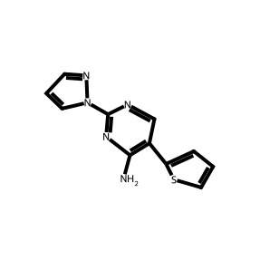 Nc1nc(-n2cccn2)ncc1-c1cccs1